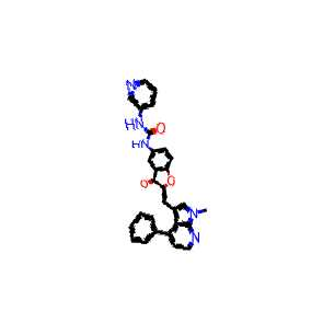 Cn1cc(C=C2Oc3ccc(NC(=O)Nc4cccnc4)cc3C2=O)c2c(-c3ccccc3)ccnc21